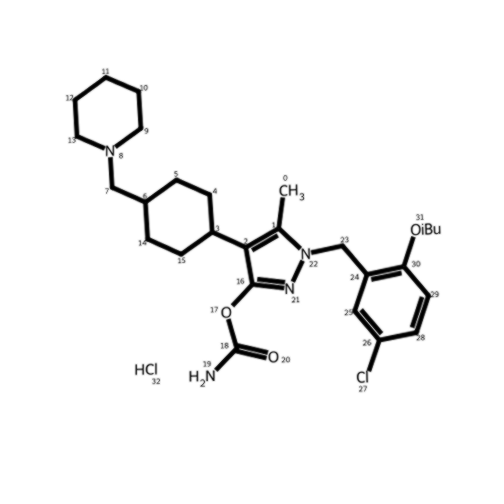 Cc1c(C2CCC(CN3CCCCC3)CC2)c(OC(N)=O)nn1Cc1cc(Cl)ccc1OCC(C)C.Cl